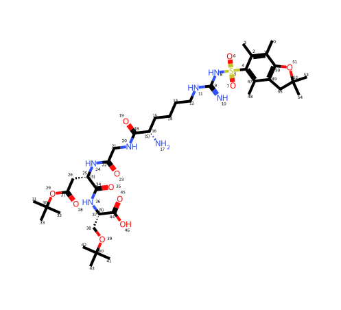 Cc1c(C)c(S(=O)(=O)NC(=N)NCCCC[C@H](N)C(=O)NCC(=O)N[C@@H](CC(=O)OC(C)(C)C)C(=O)N[C@@H](COC(C)(C)C)C(=O)O)c(C)c2c1OC(C)(C)C2